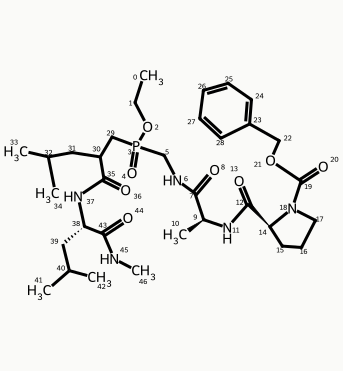 CCOP(=O)(CNC(=O)[C@H](C)NC(=O)[C@@H]1CCCN1C(=O)OCc1ccccc1)CC(CC(C)C)C(=O)N[C@@H](CC(C)C)C(=O)NC